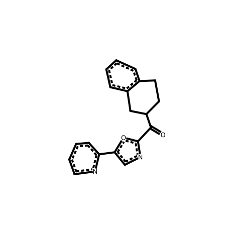 O=C(c1ncc(-c2ccccn2)o1)C1CCc2ccccc2C1